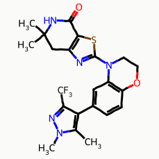 Cc1c(-c2ccc3c(c2)N(c2nc4c(s2)C(=O)NC(C)(C)C4)CCO3)c(C(F)(F)F)nn1C